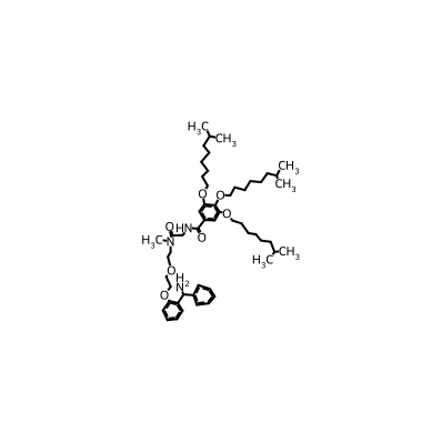 CC(C)CCCCCCOc1cc(C(=O)NCC(=O)N(C)CCOCCOc2ccccc2C(N)c2ccccc2)cc(OCCCCCCC(C)C)c1OCCCCCCC(C)C